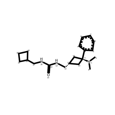 CN(C)[C@]1(c2ccccc2)C[C@@H](CNC(=O)NCC2CCC2)C1